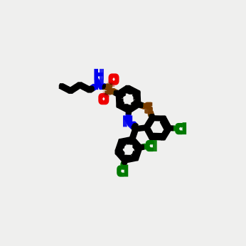 CCCCNS(=O)(=O)c1ccc2c(c1)N=C(c1ccc(Cl)cc1Cl)C1C=CC(Cl)=CC1S2